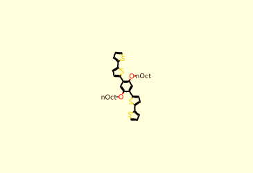 CCCCCCCCOc1cc(-c2ccc(-c3cccs3)s2)c(OCCCCCCCC)cc1-c1ccc(-c2cccs2)s1